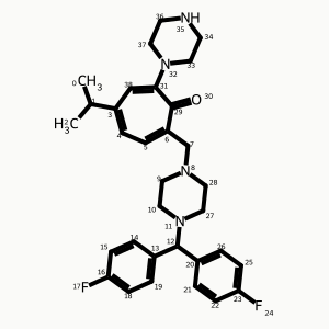 CC(C)c1ccc(CN2CCN(C(c3ccc(F)cc3)c3ccc(F)cc3)CC2)c(=O)c(N2CCNCC2)c1